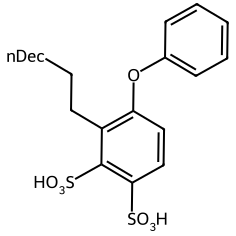 CCCCCCCCCCCCc1c(Oc2ccccc2)ccc(S(=O)(=O)O)c1S(=O)(=O)O